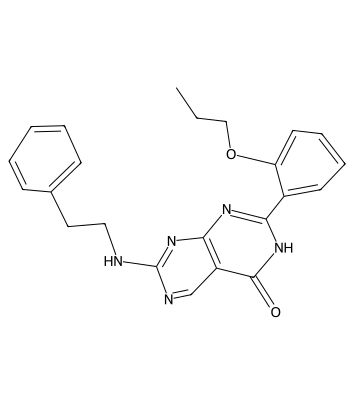 CCCOc1ccccc1-c1nc2nc(NCCc3ccccc3)ncc2c(=O)[nH]1